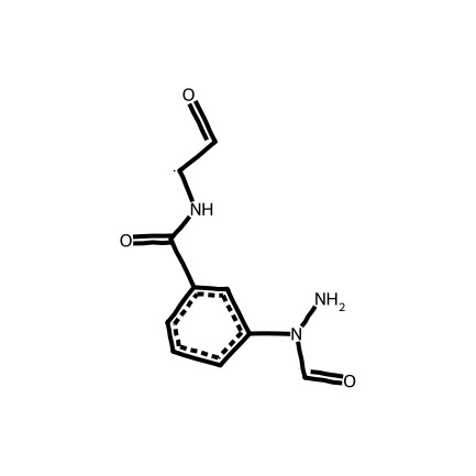 NN(C=O)c1cccc(C(=O)N[CH]C=O)c1